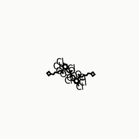 O=C(Oc1c(Cl)cc(Cl)c(Cl)c1C(=O)OCCCC1CCC1)C(=O)Oc1c(Cl)cc(Cl)c(Cl)c1C(=O)OCCCC1CCC1